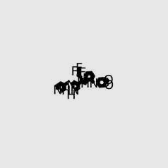 N=C/C(=C\NCc1ccncc1)c1cc2c(NC3CCS(=O)(=O)CC3)cccc2n1CC(F)(F)F